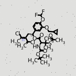 C=C(Cl)/C(C[C@H](OC(=O)C(NC(=O)OC(C)(C)C)C(C)(C)SC(C)=O)c1ccc(OC(F)F)c(OCC2CC2)c1)=C(\C)Cl